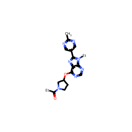 CCC(=O)N1CCC(Oc2ncnc3c2nc(-c2cnc(C)nc2)n3CC)C1